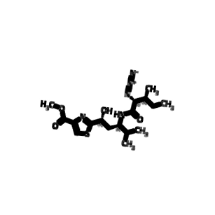 CC[C@H](C)[C@@H](N=[N+]=[N-])C(=O)N[C@H](C[C@@H](O)c1nc(C(=O)OC)cs1)C(C)C